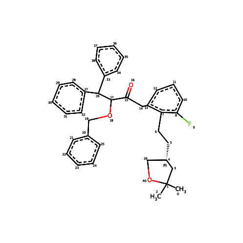 CC1(C)C[C@@H](CCc2c(F)cccc2CC(=O)C(OCc2ccccc2)C(c2ccccc2)c2ccccc2)CO1